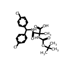 CC(C)(C)OC(=O)NC(C)(C(=O)O)C(=O)NC(c1ccc(Cl)cc1)c1ccc(Cl)cc1